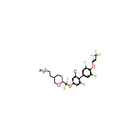 CCCC1CCC(C(F)(F)Oc2cc(F)c(-c3cc(F)c(O/C=C/C(F)(F)F)c(F)c3)c(Cl)c2)OC1